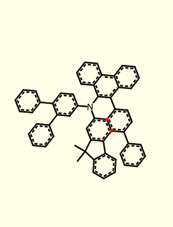 CC1(C)c2ccccc2-c2ccc(N(c3ccc(-c4ccccc4)c(-c4ccccc4)c3)c3c(-c4ccc(-c5ccccc5)cc4)c4ccccc4c4ccccc34)cc21